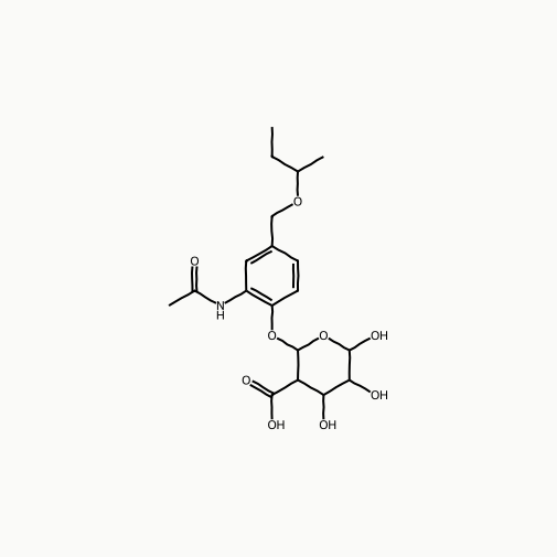 CCC(C)OCc1ccc(OC2OC(O)C(O)C(O)C2C(=O)O)c(NC(C)=O)c1